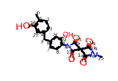 Cc1ccc(Cc2ccc(N3C(=O)C4(C(=O)N(C)C4=O)C3=O)c(O)c2)cc1O